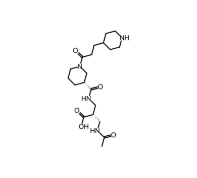 CC(=O)NC[C@@H](CNC(=O)[C@@H]1CCCN(C(=O)CCC2CCNCC2)C1)C(=O)O